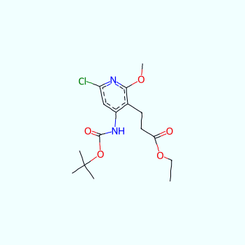 CCOC(=O)CCc1c(NC(=O)OC(C)(C)C)cc(Cl)nc1OC